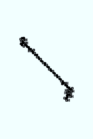 CC(C=O)NC(=O)C(NC(=O)CCCCCNC(=O)COCCOCCOCCOCCOCCOCCOCCOCCOCCOCC(=O)NCCCCC(NC(=O)NC(CCC(=O)O)C(=O)O)C(=O)O)C(C)C